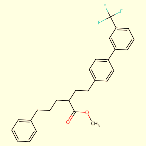 COC(=O)C(CCCc1ccccc1)CCc1ccc(-c2cccc(C(F)(F)F)c2)cc1